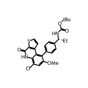 CC[C@@H](NC(=O)OC(C)(C)C)c1ccc(-c2c(OC)cc(Cl)c3[nH]c(=O)c4sccc4c23)cc1